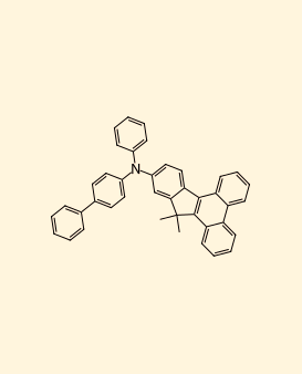 CC1(C)c2cc(N(c3ccccc3)c3ccc(-c4ccccc4)cc3)ccc2-c2c1c1ccccc1c1ccccc21